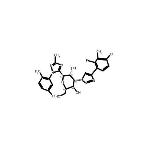 Cc1nc([C@@H]2O[C@H](CO)[C@H](O)[C@H](n3cc(-c4ccc(Cl)c(C)c4F)nn3)[C@H]2O)n(-c2cc(Cl)ccc2C(F)(F)F)n1